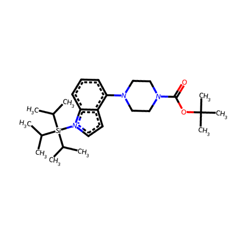 CC(C)[Si](C(C)C)(C(C)C)n1ccc2c(N3CCN(C(=O)OC(C)(C)C)CC3)cccc21